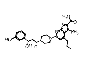 CCCc1cc(N2CCC(NCC(O)c3cccc(O)c3)CC2)nc2sc(C(N)=O)c(N)c12